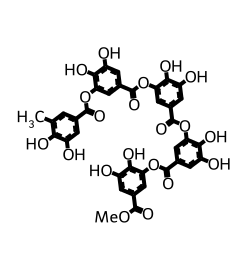 COC(=O)c1cc(O)c(O)c(OC(=O)c2cc(O)c(O)c(OC(=O)c3cc(O)c(O)c(OC(=O)c4cc(O)c(O)c(OC(=O)c5cc(C)c(O)c(O)c5)c4)c3)c2)c1